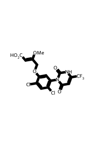 COC(=CC(=O)O)COc1cc(-n2c(=O)cc(C(F)(F)F)[nH]c2=O)c(Cl)cc1Cl